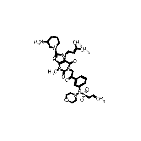 C=CCS(=O)(=O)N(c1cccc(C(=O)Cn2c(=O)c3c(nc(N4CCCC(N)C4)n3CC=C(C)C)n(C)c2=O)c1)N1CCOCC1